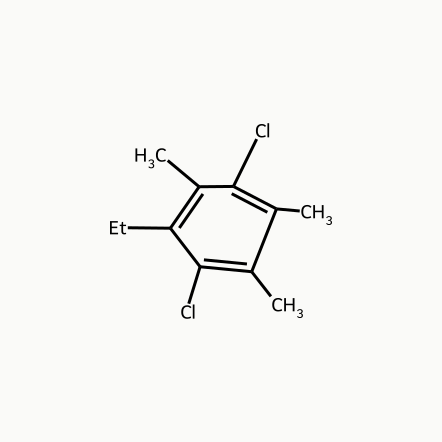 CCc1c(C)c(Cl)c(C)c(C)c1Cl